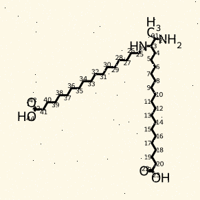 CC(N)C(CCCCCCCCCCCCCCCCCC(=O)O)NCCCCCCCCCCCCCCCCCC(=O)O